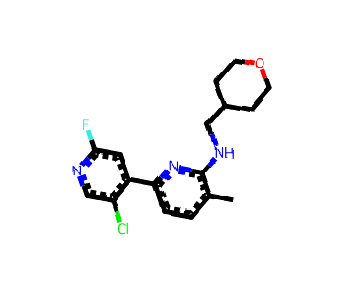 Cc1ccc(-c2cc(F)ncc2Cl)nc1NCC1CCOCC1